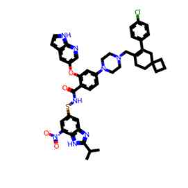 CC(C)c1nc2cc(SNC(=O)c3ccc(N4CCN(CC5=C(c6ccc(Cl)cc6)CC6(CCC6)CC5)CC4)cc3Oc3cnc4[nH]ccc4c3)cc([N+](=O)[O-])c2[nH]1